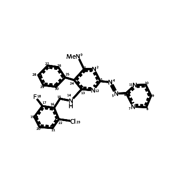 CNc1nc(N=Nc2ncccn2)nc(NCc2c(F)cccc2Cl)c1-c1ccccc1